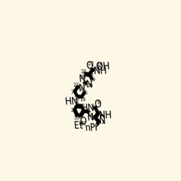 CCCc1n[nH]c2c(=O)[nH]c(-c3cc(NC4CCN(c5ncc(C(=O)NO)cn5)CC4)ccc3OCC)nc12